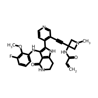 C=CC(=O)NC1(C#Cc2cnccc2-c2[nH]c3c(c2Nc2cccc(F)c2OC)C(=O)NCC3)CN(C)C1